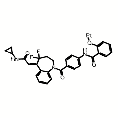 CCOc1ccccc1C(=O)Nc1ccc(C(=O)N2CCC(F)(F)C(=CC(=O)NC3CC3)c3ccccc32)cc1